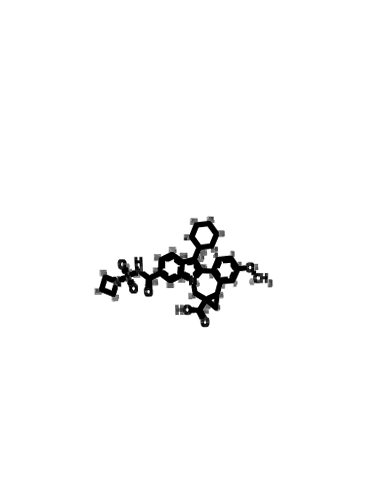 COc1ccc2c(c1)C1CC1(C(=O)O)Cn1c-2c(C2CCCCC2)c2ccc(C(=O)NS(=O)(=O)N3CCC3)cc21